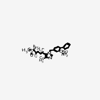 CSc1ncn(Cc2ccc(-c3ccccc3S(N)(=O)=O)cc2)c1C(C)CCC(=O)C(Br)[S+](C)[O-]